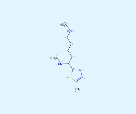 Cc1nnc(C(CCCCNC(=O)O)NC(=O)O)s1